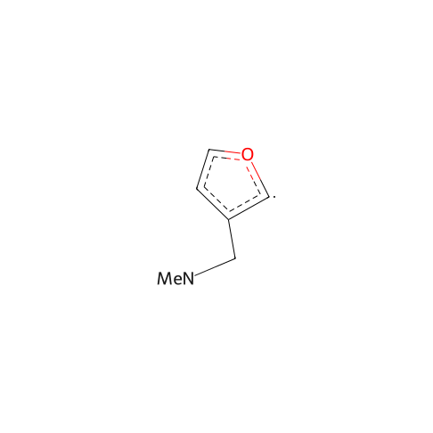 CNCc1[c]occ1